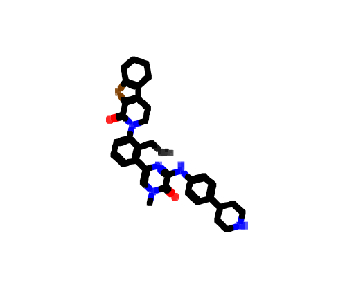 CC(=O)OCc1c(-c2cn(C)c(=O)c(Nc3ccc(C4CCNCC4)cc3)n2)cccc1N1CCc2c(sc3c2CCCC3)C1=O